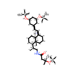 C[C@H](CNC(=O)C[C@@](C)(O[Si](C)(C)C)C(F)(F)F)[C@H]1CCC[C@H]2/C(=C\C=C3C[C@@H](O[Si](C)(C)C(C)(C)C)C[C@H](O[Si](C)(C)C(C)(C)C)C3)CCC[C@]12C